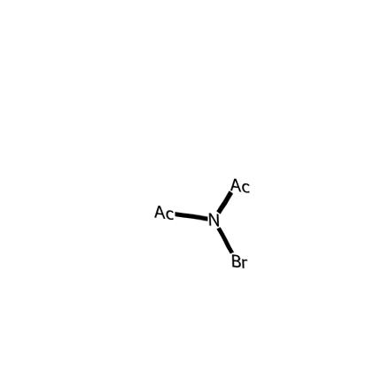 CC(=O)N(Br)C(C)=O